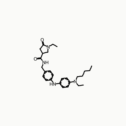 CCCCCN(CC)c1ccc(Nc2ccc(CNC(=O)C3CC(=O)N(CC)C3)cc2)cc1